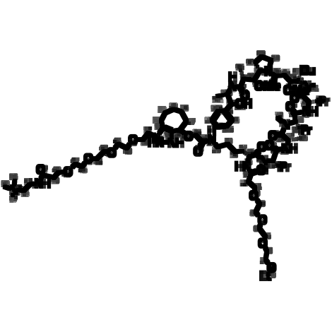 CCOCCOCCOCCOCCC(=O)N[C@H](CCCCNC(=O)COC1CCCCCC2=C1NNN2CCOCCOCCOCCOCCC(=O)NCC[N+](C)(C)C)C(=O)N[C@H](C(=O)N[C@@H](C)C(=O)N(C)[C@H](C(=O)N[C@H](C(=O)N(C)[C@@H]([C@@H](C)CC)[C@@H](CC(=O)N1CCC[C@H]1[C@H](OC)[C@@H](C)C(=O)N[C@H](C)[C@@H](O)c1ccccc1)OC)C(C)C)C(C)C)C(C)C